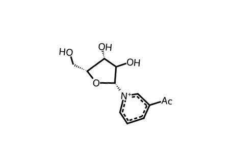 CC(=O)c1ccc[n+]([C@@H]2O[C@H](CO)[C@H](O)C2O)c1